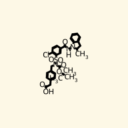 CC1Cc2ccccc2N1NC(=O)c1ccc(Cl)c(S(=O)(=O)N(Cc2ccc(CC(=O)O)cc2)C(=O)OC(C)(C)C)c1